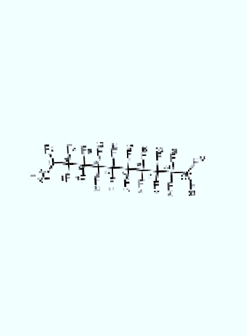 CC(F)C(F)(F)C(F)(F)C(F)(F)C(F)(F)C(F)(F)C(F)(F)C(F)(F)C(F)(F)[C](F)F